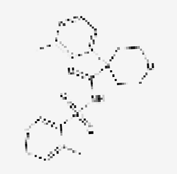 Cc1cccc(C2(C(=O)NS(=O)(=O)c3ccccc3C)CCOCC2)c1